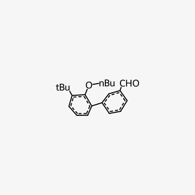 CCCCOc1c(-c2cccc(C=O)c2)cccc1C(C)(C)C